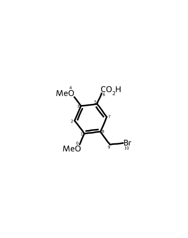 COc1cc(OC)c(C(=O)O)cc1CBr